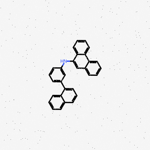 c1cc(Nc2cc3ccccc3c3ccccc23)cc(-c2cccc3ccccc23)c1